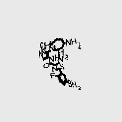 Bc1ccc(F)c(-c2nc(C(=O)Nc3cnn(C)c3N3CCC[C@@H](N)CC3)c(N)s2)c1